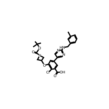 Cc1cccc(CNc2ncc(-c3cc(OC4CN(C(=O)OC(C)(C)C)C4)c(Cl)c(C(=O)O)c3)cn2)c1